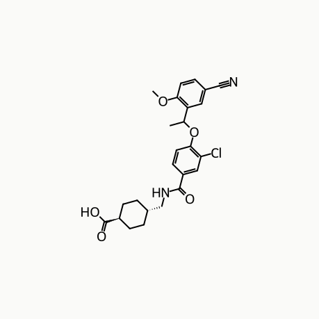 COc1ccc(C#N)cc1C(C)Oc1ccc(C(=O)NC[C@H]2CC[C@H](C(=O)O)CC2)cc1Cl